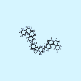 c1ccc2c(c1)ccc1ccc3cc(-c4ccc5oc6ccc(-c7ccc8c(ccc9ccc%10ccccc%10c98)c7)cc6c5c4)ccc3c12